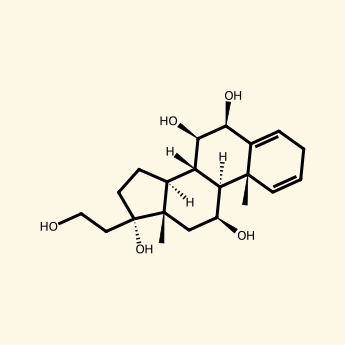 C[C@]12C=CCC=C1[C@H](O)[C@H](O)[C@@H]1[C@@H]2[C@@H](O)C[C@@]2(C)[C@H]1CC[C@]2(O)CCO